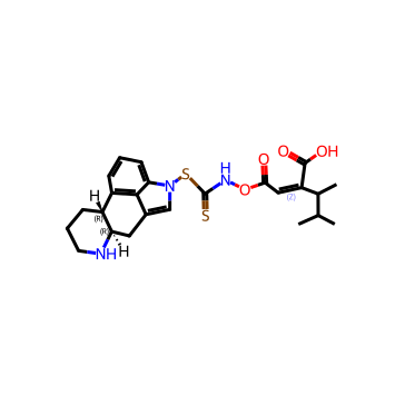 CC(C)C(C)/C(=C/C(=O)ONC(=S)Sn1cc2c3c(cccc31)[C@H]1CCCN[C@@H]1C2)C(=O)O